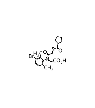 Cc1ccc(Br)c(C)c1N(CC(=O)O)C(=O)CSC(=O)C1CCCC1